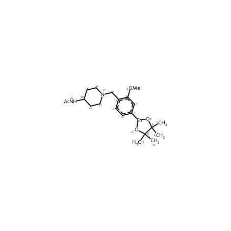 COc1cc(B2OC(C)(C)C(C)(C)O2)ccc1CN1CCC(NC(C)=O)CC1